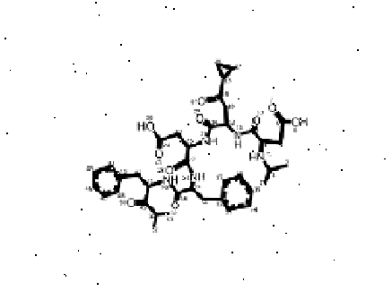 CC(C)NC(CC(=O)O)C(=O)NC(CC(=O)C1CC1)C(=O)NC(CC(=O)O)C(=O)NC(Cc1ccccc1)C(=O)NC(Cc1ccccc1)C(=O)C(C)C